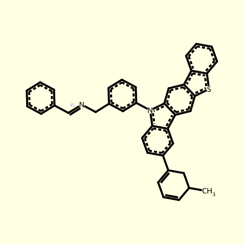 CC1C=CC=C(c2ccc3c(c2)c2cc4sc5ccccc5c4cc2n3-c2cccc(C/N=C/c3ccccc3)c2)C1